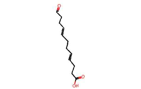 O=CCCC=CCCC=CCCC(=O)O